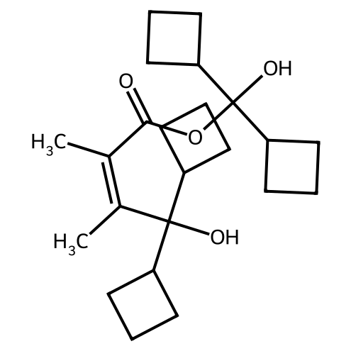 CC(C(=O)OC(O)(C1CCC1)C1CCC1)=C(C)C(O)(C1CCC1)C1CCC1